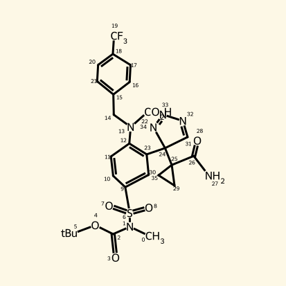 CN(C(=O)OC(C)(C)C)S(=O)(=O)c1ccc(N(Cc2ccc(C(F)(F)F)cc2)C(=O)O)c(C2(C3(C(N)=O)CC3)C=NN=N2)c1